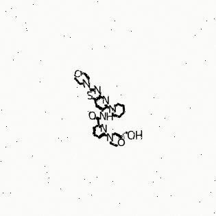 O=C(Nc1cc2sc(N3CCOCC3)nc2nc1N1CCCCC1)c1cccc(N2CCO[C@@H](CO)C2)n1